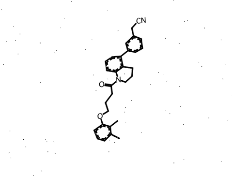 Cc1cccc(OCCCC(=O)N2CCCc3c(-c4cccc(CC#N)c4)cccc32)c1C